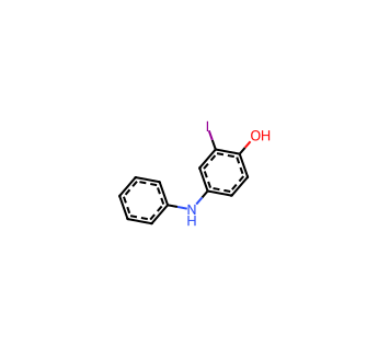 Oc1ccc(Nc2ccccc2)cc1I